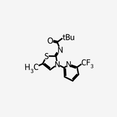 Cc1cn(-c2cccc(C(F)(F)F)n2)c(=NC(=O)C(C)(C)C)s1